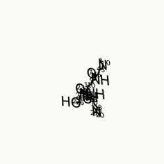 CN(C)CCCC(=O)NCCCC(NC(=O)CCCN(C)C)C(=O)NCCO